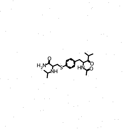 CC(=O)NC(Cc1ccc(SCC(NC(C)C)C(N)=O)cc1)C(=O)C(C)C